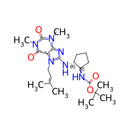 CC(C)=CCn1c(N[C@@H]2CCC[C@H]2NC(=O)OC(C)(C)C)nc2c1c(=O)n(C)c(=O)n2C